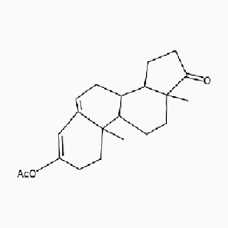 CC(=O)OC1=CC2=CCC3C4CCC(=O)C4(C)CCC3C2(C)CC1